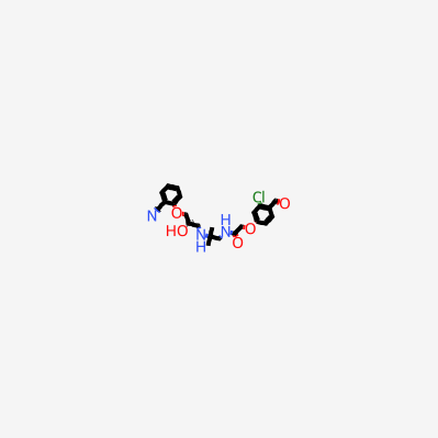 CC(C)(CNC(=O)COc1ccc(C=O)c(Cl)c1)NC[C@H](O)COc1ccccc1C#N